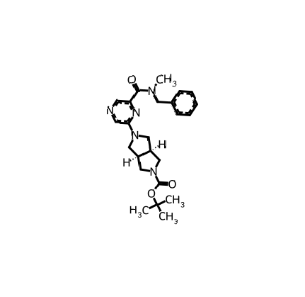 CN(Cc1ccccc1)C(=O)c1cncc(N2C[C@H]3CN(C(=O)OC(C)(C)C)C[C@H]3C2)n1